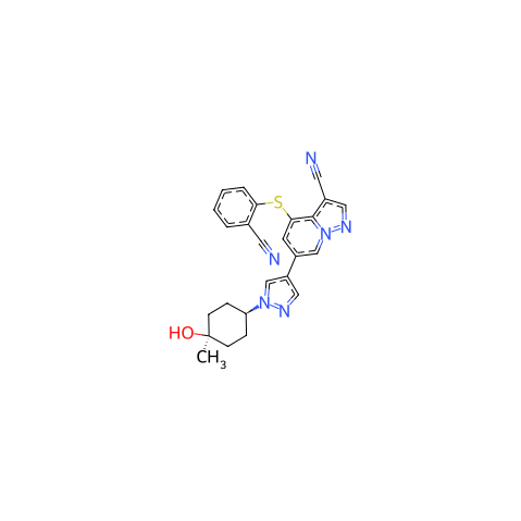 C[C@]1(O)CC[C@@H](n2cc(-c3cc(Sc4ccccc4C#N)c4c(C#N)cnn4c3)cn2)CC1